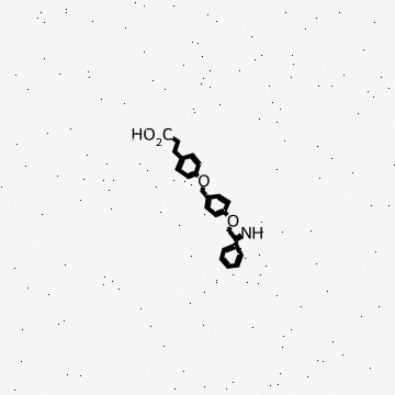 N=C(COc1ccc(COc2ccc(CCC(=O)O)cc2)cc1)c1ccccc1